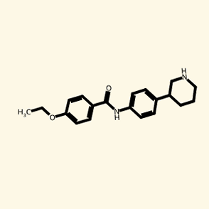 CCOc1ccc(C(=O)Nc2ccc(C3CCCNC3)cc2)cc1